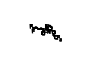 [O-][S+](CCC=C(F)F)c1nccc(OCC(F)(F)F)n1